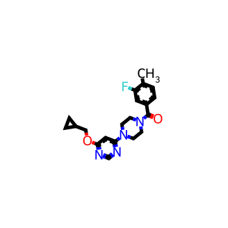 Cc1ccc(C(=O)N2CCN(c3cc(OCC4CC4)ncn3)CC2)cc1F